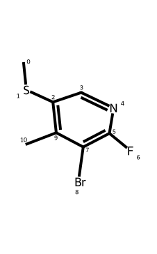 CSc1cnc(F)c(Br)c1C